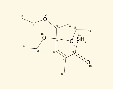 CCOC(C)C(C=C(C)C(=O)[SiH3])(OCC)OCC